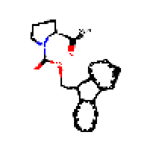 CNC(=O)[C@@H]1CCCN1C(=O)OCC1c2ccccc2-c2ccccc21